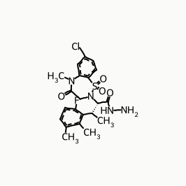 Cc1ccc(F)c(C(C)[C@@H](C(=O)NN)N2CC(=O)N(C)c3cc(Cl)ccc3S2(=O)=O)c1C